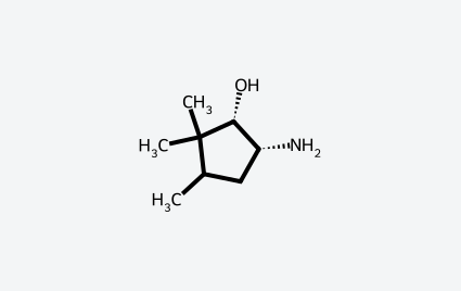 CC1C[C@@H](N)[C@@H](O)C1(C)C